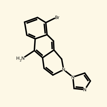 Nc1c2c(cc3c(Br)cccc13)CN(n1ccnc1)C=C2